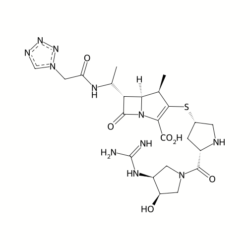 CC(NC(=O)Cn1cnnn1)[C@H]1C(=O)N2C(C(=O)O)=C(S[C@@H]3CN[C@H](C(=O)N4C[C@@H](O)[C@@H](NC(=N)N)C4)C3)[C@H](C)[C@H]12